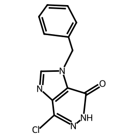 O=c1[nH]nc(Cl)c2ncn(Cc3ccccc3)c12